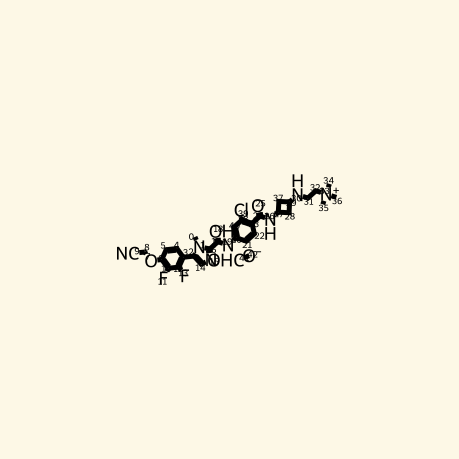 Cn1c(-c2ccc(OCC#N)c(F)c2F)cnc1C(=O)Nc1ccc(C(=O)NC2CC(NCC[N+](C)(C)C)C2)c(Cl)c1.O=C[O-]